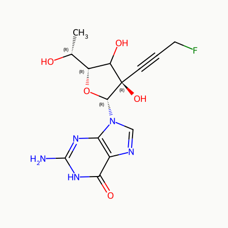 C[C@@H](O)[C@H]1O[C@@H](n2cnc3c(=O)[nH]c(N)nc32)[C@@](O)(C#CCF)C1O